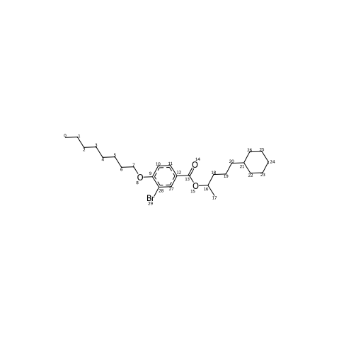 CCCCCCCCOc1ccc(C(=O)OC(C)CCCC2CC[CH]CC2)cc1Br